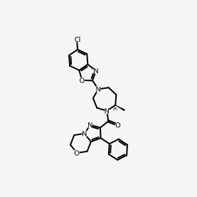 C[C@@H]1CCN(c2nc3cc(Cl)ccc3o2)CCN1C(=O)c1nn2c(c1-c1ccccc1)COCC2